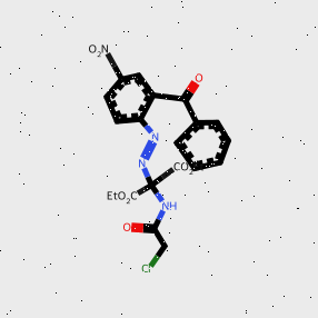 CCOC(=O)C(/N=N/c1ccc([N+](=O)[O-])cc1C(=O)c1ccccc1)(NC(=O)CCl)C(=O)OCC